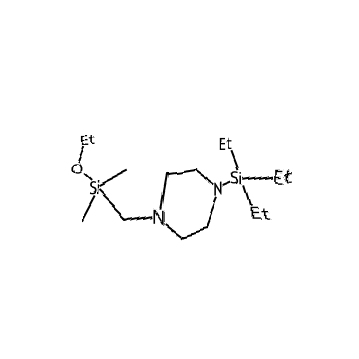 CCO[Si](C)(C)CN1CCN([Si](CC)(CC)CC)CC1